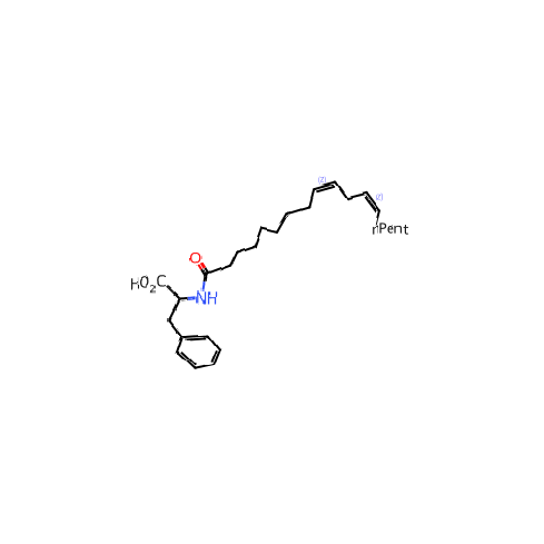 CCCCC/C=C\C/C=C\CCCCCCCC(=O)NC(Cc1ccccc1)C(=O)O